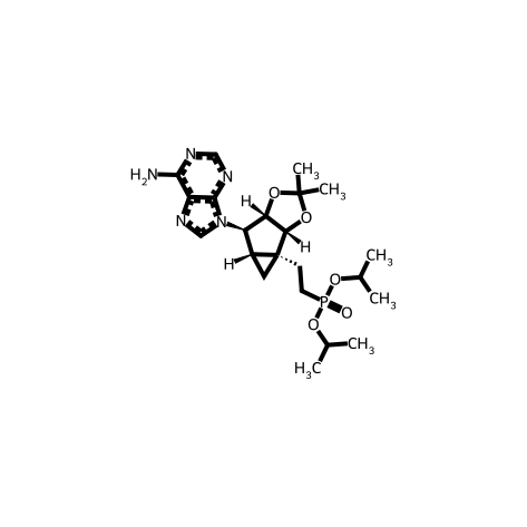 CC(C)OP(=O)(CC[C@]12C[C@@H]1[C@@H](n1cnc3c(N)ncnc31)[C@@H]1OC(C)(C)O[C@@H]12)OC(C)C